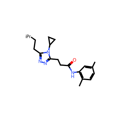 Cc1ccc(C)c(NC(=O)CCc2nnc(CCC(C)C)n2C2CC2)c1